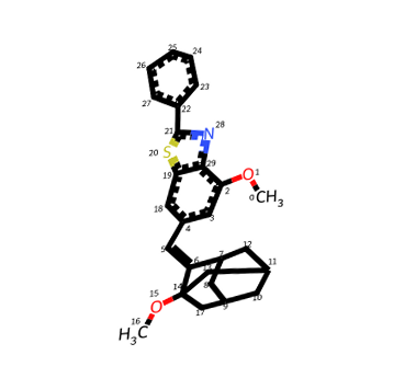 COc1cc(C=C2C3CC4CC(C3)CC2(OC)C4)cc2sc(-c3ccccc3)nc12